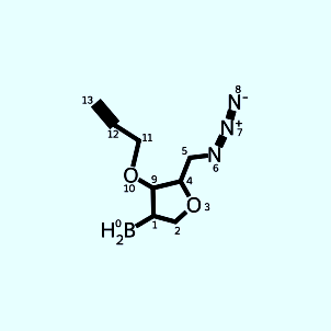 BC1COC(CN=[N+]=[N-])C1OCC#C